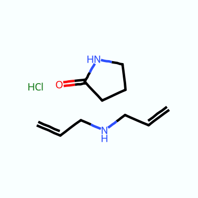 C=CCNCC=C.Cl.O=C1CCCN1